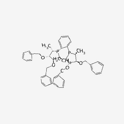 C[C@H]1[C@@H](OCc2ccccc2)[C@H](OCc2ccccc2)[C@H](C)P1c1ccccc1P1[C@@H](C)[C@@H](OCc2ccccc2)[C@H](OCc2ccccc2)[C@@H]1C